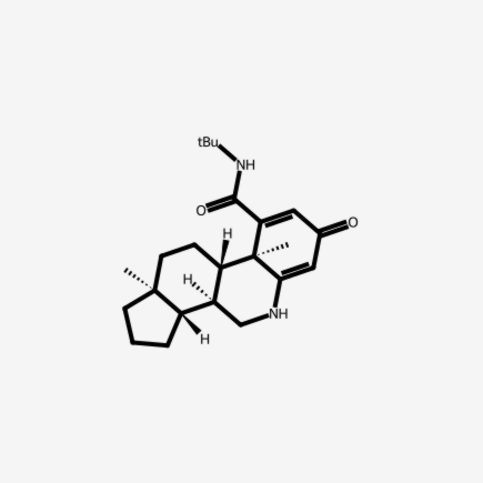 CC(C)(C)NC(=O)C1=CC(=O)C=C2NC[C@H]3[C@@H]4CCC[C@@]4(C)CC[C@@H]3[C@]21C